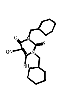 Nc1c(N=O)c(=O)n(CC2CCCCC2)c(=S)n1CC1CCCCC1